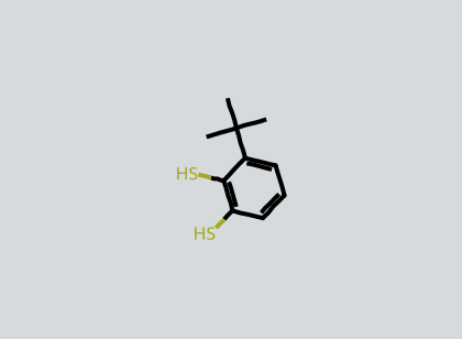 CC(C)(C)c1cccc(S)c1S